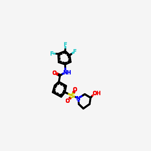 O=C(Nc1cc(F)c(F)c(F)c1)c1cccc(S(=O)(=O)N2CCCC(O)C2)c1